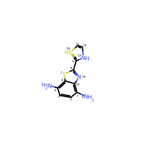 Nc1ccc(N)c2sc(C3=[SH]C=CN3)nc12